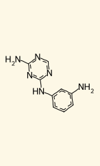 Nc1cccc(Nc2ncnc(N)n2)c1